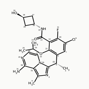 Cc1nc([C@@H](C)c2cc(Cl)c(F)c(C(=O)N[C@H]3C[C@H](O)C3)c2OC(C)C)n2ccnc(N)c12